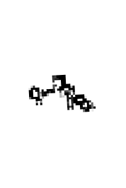 CN1CCc2cc(Nc3ncc(C4CC4)c(NCCCN4CCCCC4=O)n3)ccc2C1